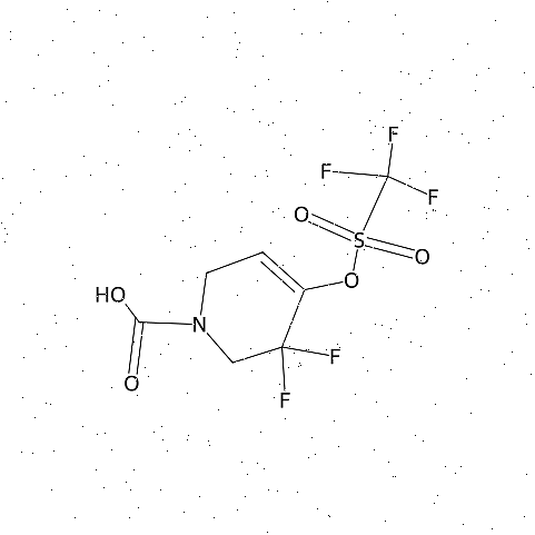 O=C(O)N1CC=C(OS(=O)(=O)C(F)(F)F)C(F)(F)C1